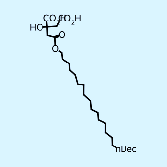 CCCCCCCCCCCCCCCCCCCCCCCCCCOC(=O)CC(O)(CC(=O)O)C(=O)O